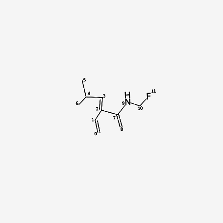 C=C/C(=C\C(C)C)C(=C)NCF